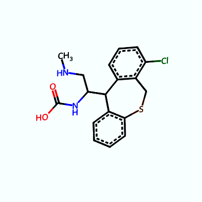 CNCC(NC(=O)O)C1c2ccccc2SCc2c(Cl)cccc21